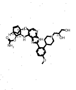 COc1ccc(-c2nc3c(N[C@H]4[C@@H](OC(N)=O)[C@@H]5C=C[C@H]4C5)c(Cl)cnc3[nH]2)c(C2CCN(C[C@H](O)CO)CC2)c1